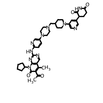 CC(=O)c1c(C)c2cnc(Nc3ccc(N4CCN(CC5CCN(c6cncc(C7CCC(=O)NC7=O)c6)CC5)CC4)cn3)nc2n(C2CCCC2)c1=O